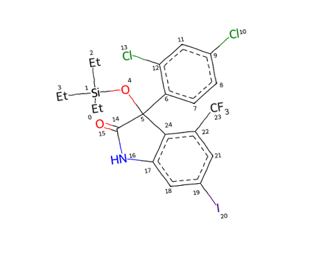 CC[Si](CC)(CC)OC1(c2ccc(Cl)cc2Cl)C(=O)Nc2cc(I)cc(C(F)(F)F)c21